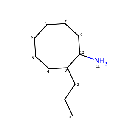 CCC[C]1CCCCCCC1N